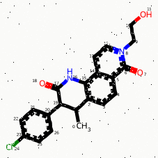 CC1c2ccc3c(=O)n(CCO)ccc3c2NC(=O)C1c1ccc(Cl)cc1